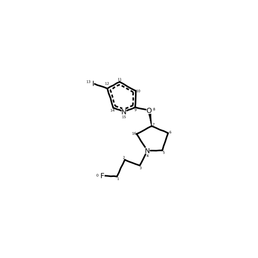 FCCCN1CC[C@H](Oc2ccc(I)cn2)C1